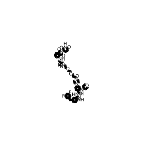 O=C1CCC(N2C(=O)c3cccc(NCc4cn(CCOCCOCCC(=O)N5CCN(c6ccc(C(=O)Nc7n[nH]c8ccc(Cc9cc(F)cc(F)c9)cc78)c(NC7CCOCC7)c6)CC5)nn4)c3C2=O)C(=O)N1